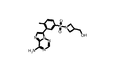 Cc1ccc(S(=O)(=O)N2CC(CO)C2)cc1-c1cnc2c(N)ncnn12